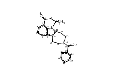 CC1CC(=O)c2cccc3c4c(n1c23)CCN(C(=O)c1ccccc1)CC4